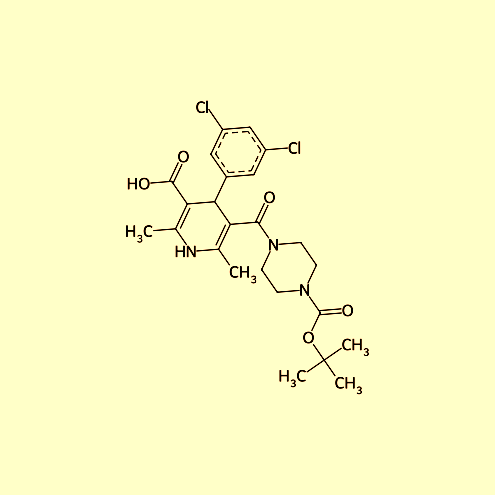 CC1=C(C(=O)O)C(c2cc(Cl)cc(Cl)c2)C(C(=O)N2CCN(C(=O)OC(C)(C)C)CC2)=C(C)N1